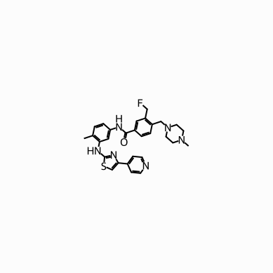 Cc1ccc(NC(=O)c2ccc(CN3CCN(C)CC3)c(CF)c2)cc1Nc1nc(-c2ccncc2)cs1